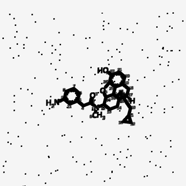 CN(C(=O)Cc1cccc(N)c1)C1CC[C@@]2(O)[C@H]3Cc4ccc(O)c5c4[C@@]2(CCN3CC2CC2)C1O5